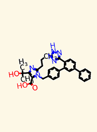 CCCc1nc(C(C)(C)O)c(C(=O)O)n1Cc1ccc(-c2cc(-c3ccccc3)ccc2-c2nn[nH]n2)cc1